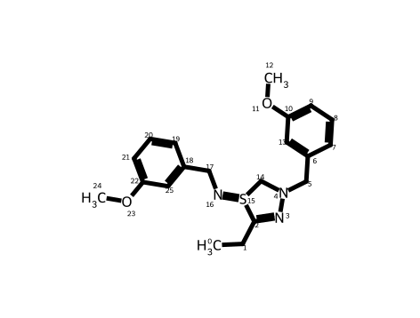 CCC1=NN(Cc2cccc(OC)c2)CS1=NCc1cccc(OC)c1